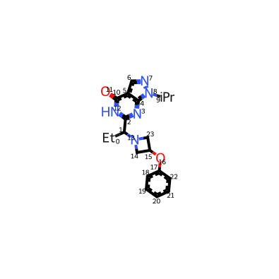 CCC(c1nc2c(cnn2C(C)C)c(=O)[nH]1)N1CC(Oc2ccccc2)C1